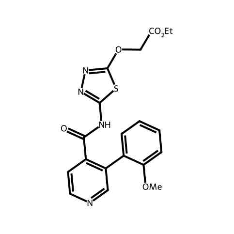 CCOC(=O)COc1nnc(NC(=O)c2ccncc2-c2ccccc2OC)s1